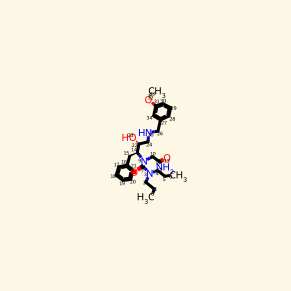 CCCN(CCC)C(=O)N(CC(N)=O)[C@@H](Cc1ccccc1)[C@H](O)CNCc1cccc(OC)c1